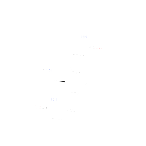 CNC(=O)c1ccc(C[C@@H](CNC(=O)[C@@H](C)C(C)c2ccccc2)N(C)C)c(Cl)c1